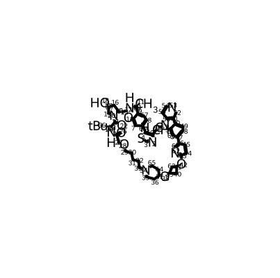 Cc1ncsc1-c1ccc([C@H](C)NC(=O)[C@@H]2C[C@@H](O)CN2C(=O)[C@@H](NC(=O)COCCCCCN2CCC(O[C@H]3C[C@H](Oc4ccc(-c5ccc6c7cnccc7n(C)c6c5)cn4)C3)CC2)C(C)(C)C)cc1